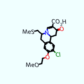 COCCOc1cc2c(cc1Cl)C1CC(=O)C(C(=O)O)=CN1C(CSC)C2